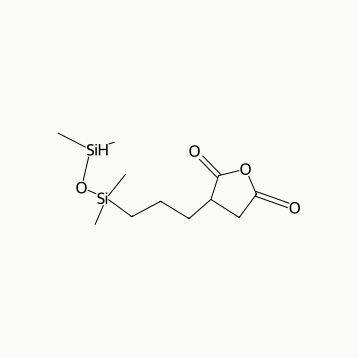 C[SiH](C)O[Si](C)(C)CCCC1CC(=O)OC1=O